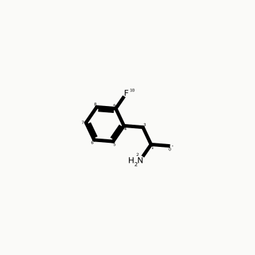 [CH2]C(N)Cc1ccccc1F